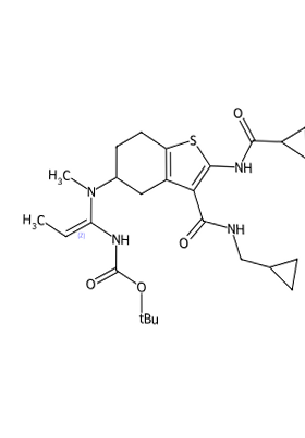 C/C=C(/NC(=O)OC(C)(C)C)N(C)C1CCc2sc(NC(=O)C3CC3)c(C(=O)NCC3CC3)c2C1